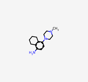 CN1CCN(c2ccc(N)c3c2CCCC3)CC1